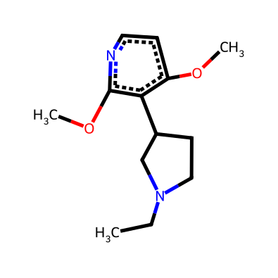 CCN1CCC(c2c(OC)ccnc2OC)C1